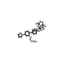 COCOc1cc(-n2cccn2)ccc1-c1ccc(O[C@H]2C[C@@H]3CC[C@H]([C@H]2F)N3C(=O)OC(C)(C)C)nn1